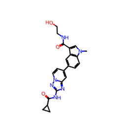 Cn1cc(C(=O)NCCO)c2cc(-c3ccn4nc(NC(=O)C5CC5)nc4c3)ccc21